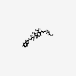 C[N+](C)(CC=CC1=C(C(=O)[O-])N2C(=O)[C@@H](NC(=O)CSc3nc4ccccc4s3)[C@H]2SC1)CCO